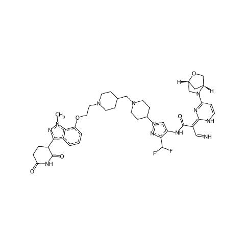 Cn1nc(C2CCC(=O)NC2=O)c2cccc(OCCN3CCC(CN4CCC(n5cc(NC(=O)/C(C=N)=C6\N=C(N7C[C@H]8C[C@@H]7CO8)C=CN6)c(C(F)F)n5)CC4)CC3)c21